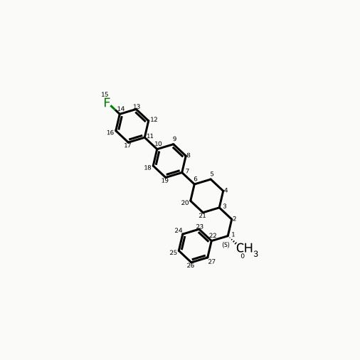 C[C@@H](CC1CCC(c2ccc(-c3ccc(F)cc3)cc2)CC1)c1ccccc1